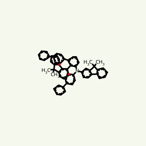 CC1(C)c2ccccc2-c2ccc(N(c3ccc(-c4ccccc4)cc3)c3cccc(-c4ccc(-c5ccccc5)cc4)c3-c3cccc4c3-c3ccccc3C4(C)C)cc21